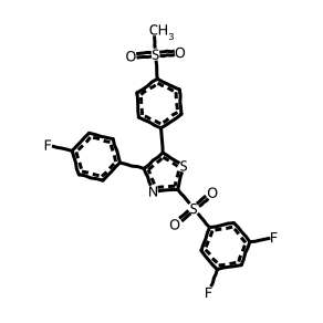 CS(=O)(=O)c1ccc(-c2sc(S(=O)(=O)c3cc(F)cc(F)c3)nc2-c2ccc(F)cc2)cc1